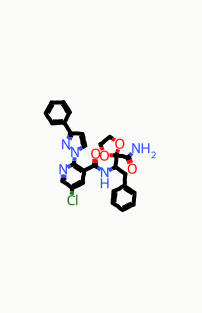 NC(=O)C1(C(Cc2ccccc2)NC(=O)c2cc(Cl)cnc2-n2ccc(-c3ccccc3)n2)OCCO1